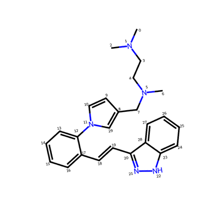 CN(C)CCN(C)Cc1ccn(-c2ccccc2C=Cc2n[nH]c3ccccc23)c1